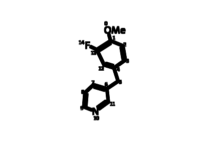 COc1ccc(Cc2cccnc2)cc1F